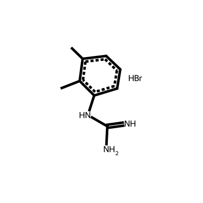 Br.Cc1cccc(NC(=N)N)c1C